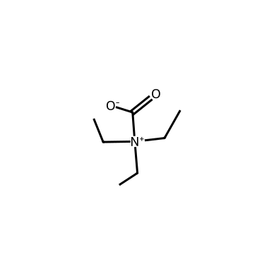 CC[N+](CC)(CC)C(=O)[O-]